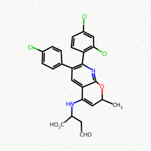 CC1C=C(NC(CC=O)C(=O)O)c2cc(-c3ccc(Cl)cc3)c(-c3ccc(Cl)cc3Cl)nc2O1